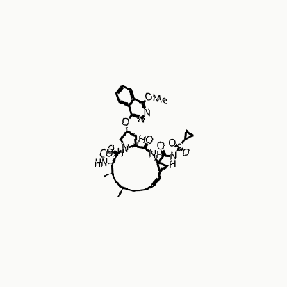 COc1nnc(O[C@@H]2C[C@H]3C(=O)NC4(C(=O)NS(=O)(=O)C5CC5)CC4/C=C\CC[C@@H](C)C[C@@H](C)[C@H](NC(=O)O)C(=O)N3C2)c2ccccc12